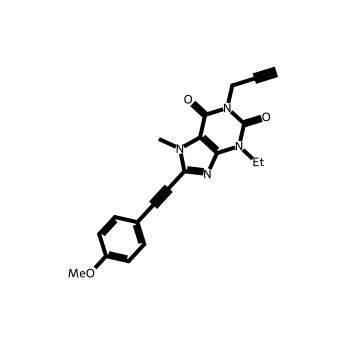 C#CCn1c(=O)c2c(nc(C#Cc3ccc(OC)cc3)n2C)n(CC)c1=O